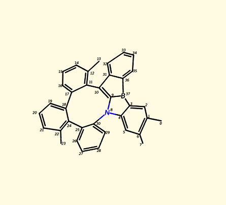 Cc1cc2c(cc1C)-n1c3c(c4c(C)cccc4c4cccc(C)c4c4ccccc41)-c1ccccc1B23